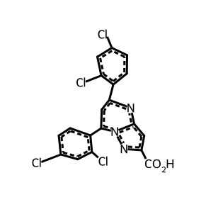 O=C(O)c1cc2nc(-c3ccc(Cl)cc3Cl)cc(-c3ccc(Cl)cc3Cl)n2n1